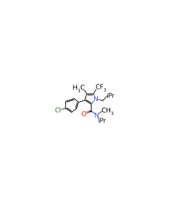 Cc1c(-c2ccc(Cl)cc2)c(C(=O)N(C)C(C)C)n(CC(C)C)c1C(F)(F)F